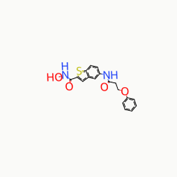 O=C(CCOc1ccccc1)Nc1ccc2sc(C(=O)NO)cc2c1